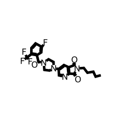 CCCCCN1C(=O)c2cc(N3CCN(C(=O)c4cc(F)ccc4C(F)(F)F)CC3)cnc2C1=O